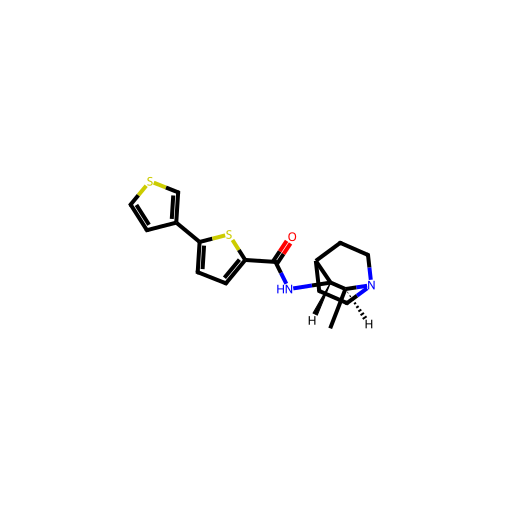 C[C@H]1[C@H](NC(=O)c2ccc(-c3ccsc3)s2)C2CCN1CC2